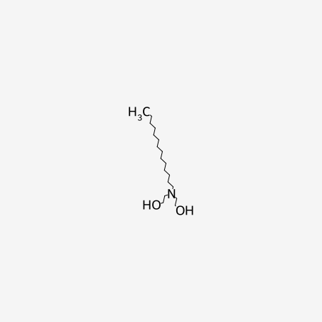 CCCCCCCCCCCCCCN(CCO)CCO